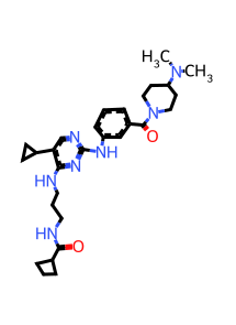 CN(C)C1CCN(C(=O)c2cccc(Nc3ncc(C4CC4)c(NCCCNC(=O)C4CCC4)n3)c2)CC1